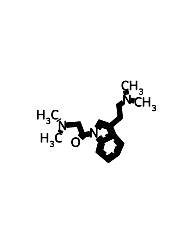 CN(C)CCc1cn(C(=O)CN(C)C)c2ccccc12